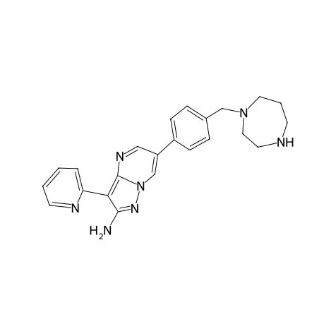 Nc1nn2cc(-c3ccc(CN4CCCNCC4)cc3)cnc2c1-c1ccccn1